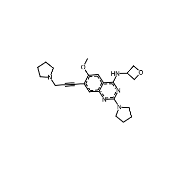 COc1cc2c(NC3COC3)nc(N3CCCC3)nc2cc1C#CCN1CCCC1